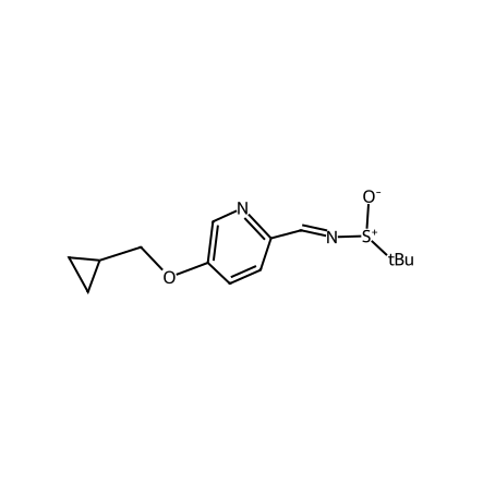 CC(C)(C)[S+]([O-])N=Cc1ccc(OCC2CC2)cn1